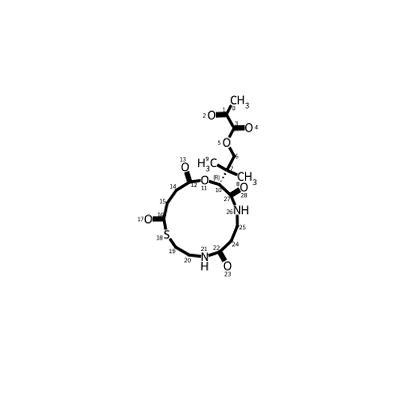 CC(=O)C(=O)OCC(C)(C)[C@H]1OC(=O)CCC(=O)SCCNC(=O)CCNC1=O